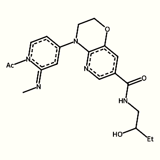 CCC(O)CNC(=O)c1cnc2c(c1)OCCN2c1ccn(C(C)=O)/c(=N\C)c1